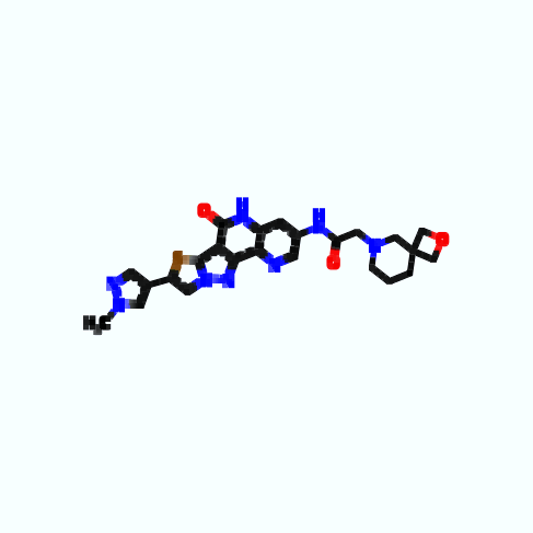 Cn1cc(-c2cn3nc4c5ncc(NC(=O)CN6CCCC7(COC7)C6)cc5[nH]c(=O)c4c3s2)cn1